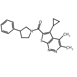 Cc1nnc2sc(C(=O)N3CCC(c4ccccc4)C3)c(C3CC3)c2c1C